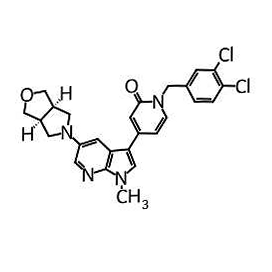 Cn1cc(-c2ccn(Cc3ccc(Cl)c(Cl)c3)c(=O)c2)c2cc(N3C[C@H]4COC[C@H]4C3)cnc21